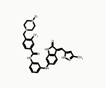 CCN1CCN(Cc2ccc(C(=O)Nc3cccc(Nc4ccc5c(c4)NC(=O)C5=Cc4cc(C)n[nH]4)c3)cc2C(F)(F)F)CC1